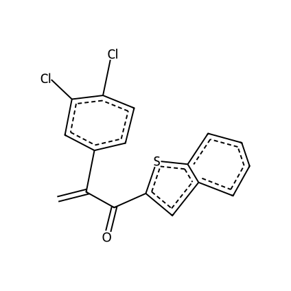 C=C(C(=O)c1cc2ccccc2s1)c1ccc(Cl)c(Cl)c1